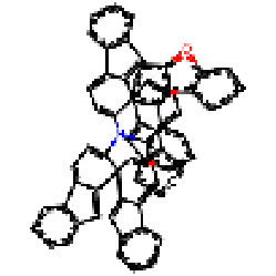 C1=CC2(C3=Cc4ccccc4C3=C1)C1=Cc3ccccc3C1=CC=C2N(C1=CC=C2C(=Cc3ccccc32)C12C=CC=C1C2=Cc2ccccc21)c1ccccc1-c1cccc2oc3ccccc3c12